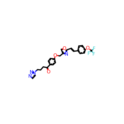 O=C(CCCn1ccnn1)c1ccc(OCc2coc(C=Cc3ccc(OC(F)(F)F)cc3)n2)cc1